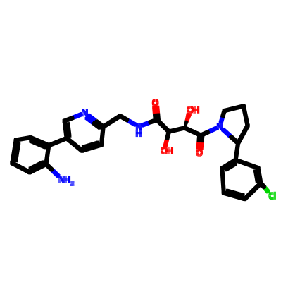 Nc1ccccc1-c1ccc(CNC(=O)C(O)[C@@H](O)C(=O)N2CCCC2c2cccc(Cl)c2)nc1